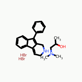 Br.Br.C1=C2C(=C(c3ccccc3)c3ccccc32)CNC1.CC(O)CN(C)C